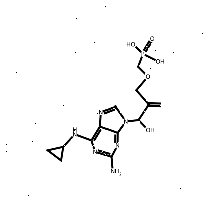 C=C(COCP(=O)(O)O)C(O)n1cnc2c(NC3CC3)nc(N)nc21